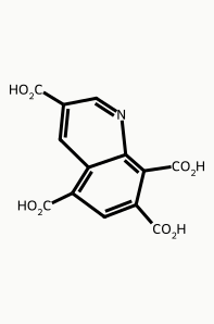 O=C(O)c1cnc2c(C(=O)O)c(C(=O)O)cc(C(=O)O)c2c1